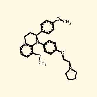 COc1ccc(C2CCc3cccc(OC)c3N2c2ccc(OCCN3CCCC3)cc2)cc1